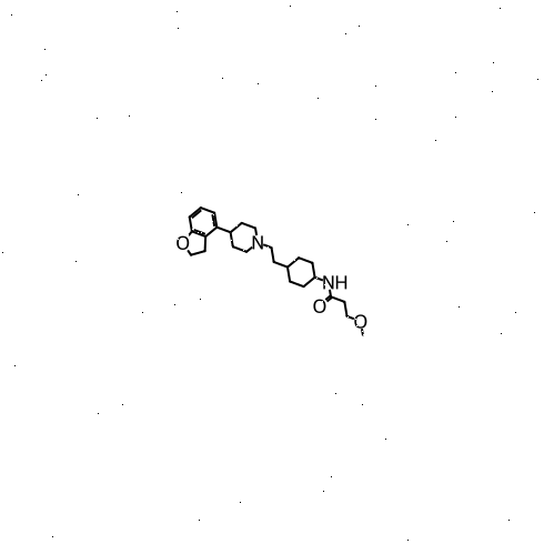 COCCC(=O)NC1CCC(CCN2CCC(c3cccc4c3CCO4)CC2)CC1